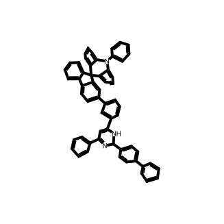 C1=C(c2cccc(-c3ccc4c(c3)C3(c5ccccc5-4)c4ccccc4N(c4ccccc4)c4ccccc43)c2)NC(c2ccc(-c3ccccc3)cc2)N=C1c1ccccc1